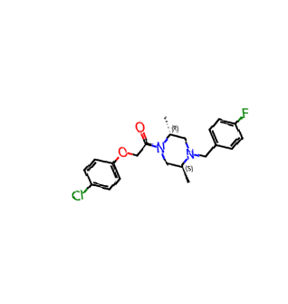 C[C@@H]1CN(Cc2ccc(F)cc2)[C@@H](C)CN1C(=O)COc1ccc(Cl)cc1